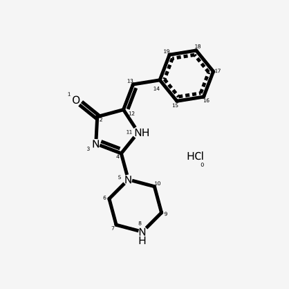 Cl.O=C1N=C(N2CCNCC2)NC1=Cc1ccccc1